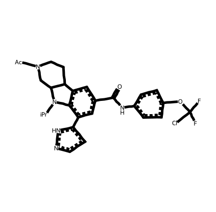 CC(=O)N1CCC2c3cc(C(=O)Nc4ccc(OC(F)(F)Cl)cc4)cc(-c4ccn[nH]4)c3N(C(C)C)C2C1